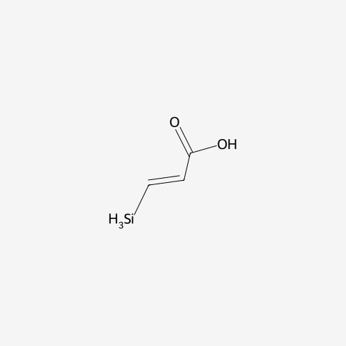 O=C(O)/C=C/[SiH3]